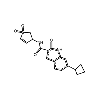 O=C(NC1C=CS(=O)(=O)C1)c1cc2ccc(C3CCC3)cc2[nH]c1=O